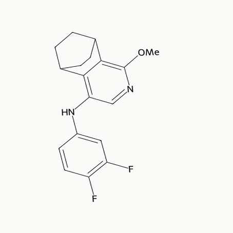 COc1ncc(Nc2ccc(F)c(F)c2)c2c1C1CCC2CC1